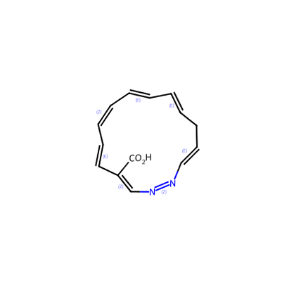 O=C(O)C1=C\N=N/C=C/C/C=C/C=C/C=C\C=C\1